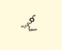 CCCCCCCCCCCC(C)OCc1ccc(CI)cc1